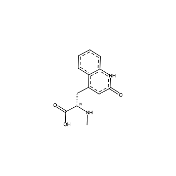 CN[C@@H](Cc1cc(=O)[nH]c2ccccc12)C(=O)O